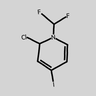 FC(F)N1C=CC(I)=CC1Cl